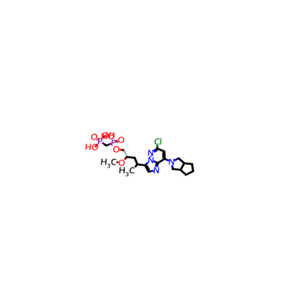 CO[C@H](COP(=O)(O)CP(=O)(O)O)CC(C)c1cnc2c(N3CC4CCCC4C3)cc(Cl)nn12